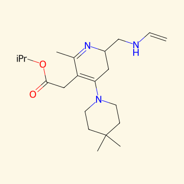 C=CNCC1CC(N2CCC(C)(C)CC2)=C(CC(=O)OC(C)C)C(C)=N1